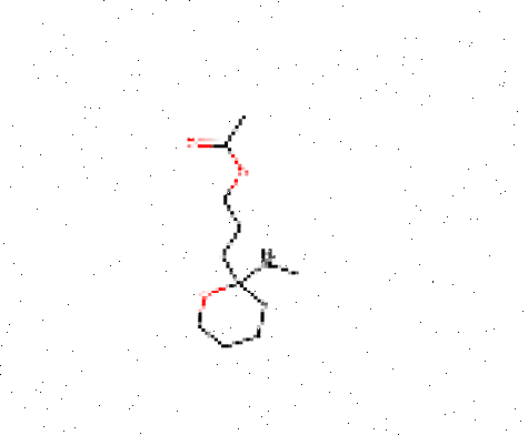 C[SiH2]C1(CCCOC(C)=O)CCCCO1